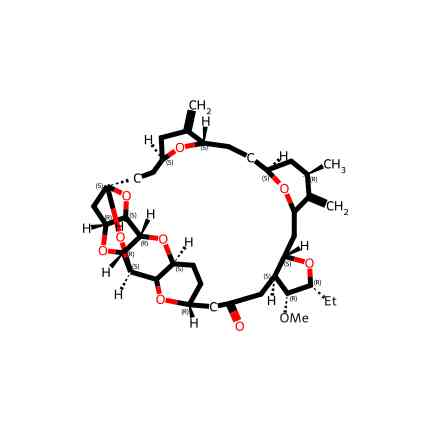 C=C1C2C[C@@H]3O[C@H](CC)[C@H](OC)[C@H]3CC(=O)C[C@H]3CC[C@@H]4O[C@H]5[C@H]6O[C@]7(CC[C@H]8CC(=C)[C@H](CC[C@@H](C[C@H]1C)O2)O8)C[C@H]6O[C@H]5[C@@H](O7)C4O3